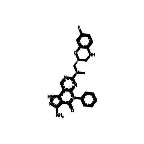 CN(C[C@H]1CNc2ccc(F)cc2O1)c1ncc2c3[nH]nc(N)c3c(=O)n(-c3ccccc3)c2n1